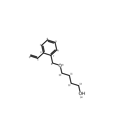 C=Cc1ccccc1COCCCCO